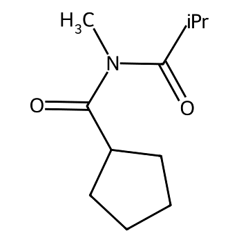 CC(C)C(=O)N(C)C(=O)C1CCCC1